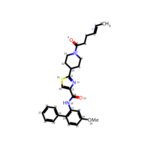 C/C=C/CCC(=O)N1CCC(c2nc(C(=O)Nc3cc(OC)ccc3-c3ccccc3)cs2)CC1